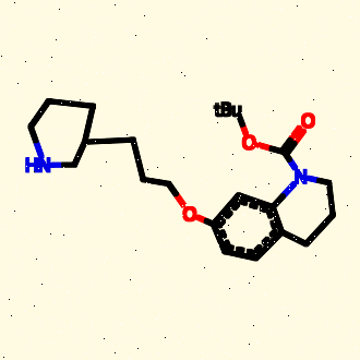 CC(C)(C)OC(=O)N1CCCc2ccc(OCCCC3CCCNC3)cc21